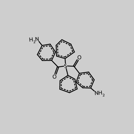 Nc1ccc(C(=O)S(C(=O)c2ccc(N)cc2)(c2ccccc2)c2ccccc2)cc1